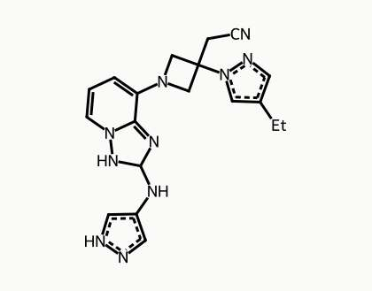 CCc1cnn(C2(CC#N)CN(C3=CC=CN4NC(Nc5cn[nH]c5)N=C34)C2)c1